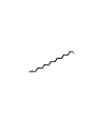 CCCCCCCOCOCCCCCCN